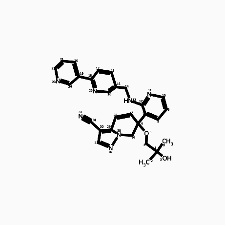 CC(C)(O)COC1(c2cccnc2NCc2ccc(-c3cccnc3)nc2)C=Cc2c(C#N)cnn2C1